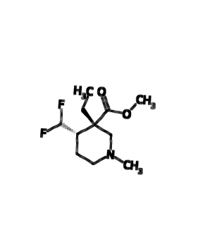 CC[C@@]1(C(=O)OC)CN(C)CC[C@@H]1C(F)F